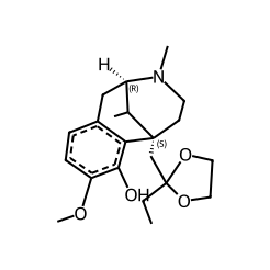 CCC1(C[C@]23CCN(C)[C@H](Cc4ccc(OC)c(O)c42)C3C)OCCO1